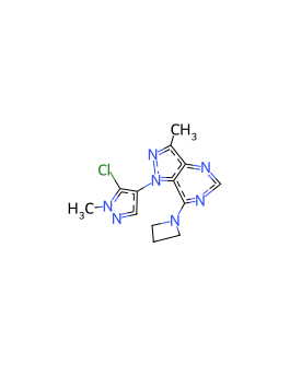 Cc1nn(-c2cnn(C)c2Cl)c2c(N3CCC3)ncnc12